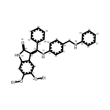 CCOc1cc2c(cc1OCC)C(=C(Nc1ccc(CNc3ccccc3)cc1)c1ccccc1)C(=O)N2